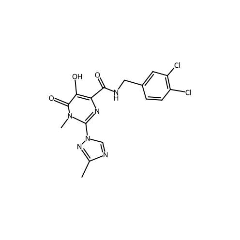 Cc1ncn(-c2nc(C(=O)NCc3ccc(Cl)c(Cl)c3)c(O)c(=O)n2C)n1